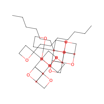 CCCCCCCC1(C2(C3(C4(C5(OC6(C7(C8(C9(C%10(CCCCCCC)CCO%10)CCO9)CCO8)CCO7)CCO6)CCO5)CCO4)CCO3)CCO2)CCO1